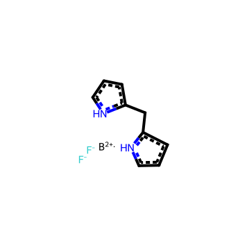 [B+2].[F-].[F-].c1c[nH]c(Cc2ccc[nH]2)c1